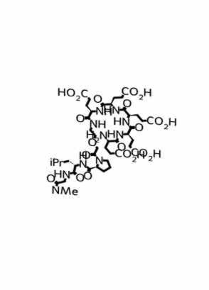 CNC(=O)CNC(=O)[C@H](CC(C)C)NC(=O)[C@@H]1CCCN1C(=O)COCCNC(=O)[C@@H](CCC(=O)O)NC(=O)[C@@H](CCC(=O)O)NC(=O)[C@@H](CCC(=O)O)NC(=O)[C@@H](CCC(=O)O)NC(=O)[C@H](N)CCC(=O)O